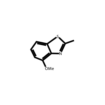 COc1cccc2sc(C)nc12